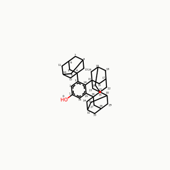 Oc1cc(C23CC4CC(CC(C4)C2)C3)c(C23CC4CC(CC(C4)C2)C3)c(C23CC4CC(CC(C4)C2)C3)c1